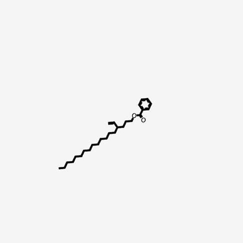 C=CC(CCCCCCCCCCCCCC)CCCOC(=O)c1ccccc1